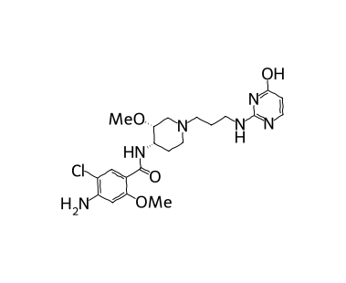 COc1cc(N)c(Cl)cc1C(=O)N[C@H]1CCN(CCCNc2nccc(O)n2)C[C@H]1OC